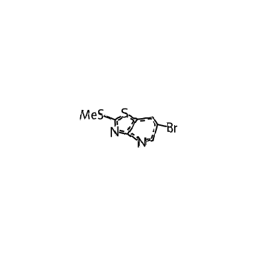 CSc1nc2ncc(Br)cc2s1